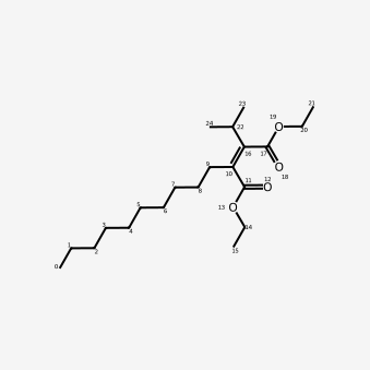 CCCCCCCCCC/C(C(=O)OCC)=C(/C(=O)OCC)C(C)C